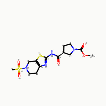 CC(C)(C)OC(=O)N1CC[C@H](C(=O)Nc2nc3c(s2)CN(S(C)(=O)=O)CC3)C1